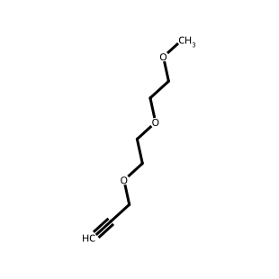 C#CCOCCOCCOC